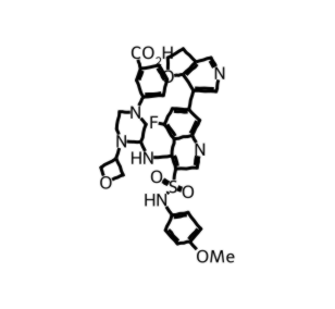 COc1ccc(NS(=O)(=O)c2cnc3cc(-c4cncc5c4OCC5)cc(F)c3c2NC2CN(c3cccc(C(=O)O)c3)CCN2C2COC2)cc1